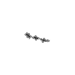 Brc1ccc2c(c1)c1cccc3c1n2-c1ccccc1N3c1ccc(-c2ccc3c(c2)c2cccc4c2n3c2cccc3c5cc(-c6ccc7c(c6)sc6cccc8c6-n7c6cccc7sc9ccccc9n8-c76)ccc5n4c32)cc1